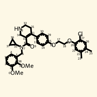 COc1cccc(CN(C(=O)C2=C(c3ccc(OCCOc4cc(C)c(C)cc4Cl)cc3)CCNC2)C2CC2)c1OC